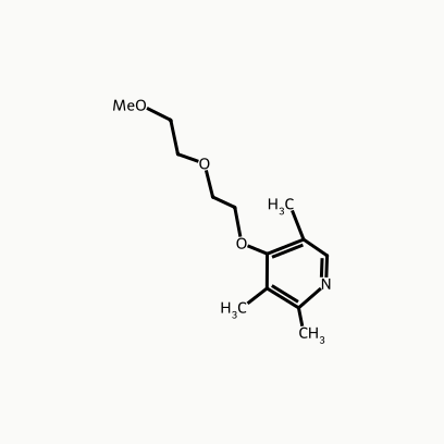 COCCOCCOc1c(C)cnc(C)c1C